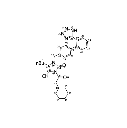 CCCCc1c(Cl)n(C(=O)CC2CCCCC2)c(=O)n1Cc1ccc(-c2ccccc2-c2nnn[nH]2)cc1